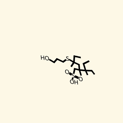 CCC(C)(CC(C)(CS(=O)(=O)O)C(C)(CC)CC)SCCCO